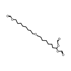 O=[C]OC(CCCCCCCOCCCCCCCCOC=O)OC=O